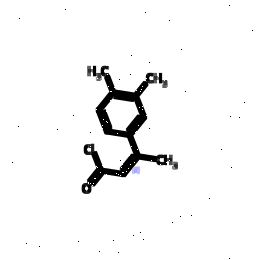 C/C(=C/C(=O)Cl)c1ccc(C)c(C)c1